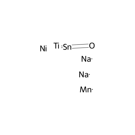 [Mn].[Na].[Na].[Ni].[O]=[Sn].[Ti]